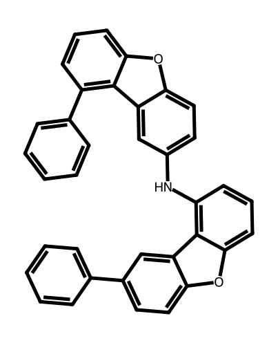 c1ccc(-c2ccc3oc4cccc(Nc5ccc6oc7cccc(-c8ccccc8)c7c6c5)c4c3c2)cc1